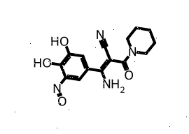 N#C/C(C(=O)N1CCCCC1)=C(/N)c1cc(O)c(O)c(N=O)c1